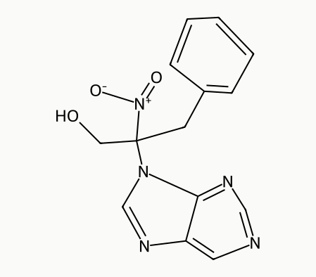 O=[N+]([O-])C(CO)(Cc1ccccc1)n1cnc2cncnc21